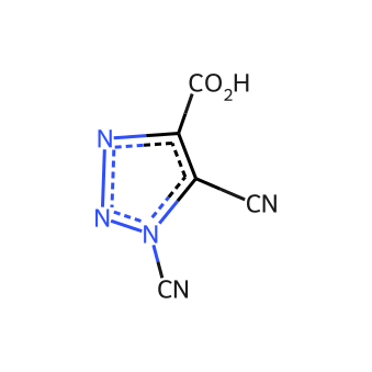 N#Cc1c(C(=O)O)nnn1C#N